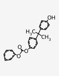 CC(C)(c1ccc(O)cc1)c1ccc(OC(=O)Oc2ccccc2)cc1